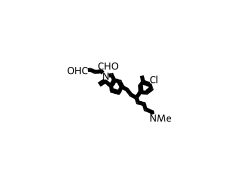 C=C1c2ccc(CCC(CCCCNC)c3ccc(Cl)c(C)c3)cc2CN1C(C=O)CCC=O